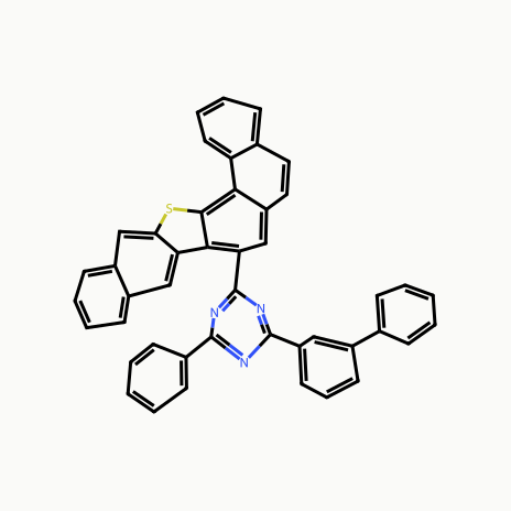 c1ccc(-c2cccc(-c3nc(-c4ccccc4)nc(-c4cc5ccc6ccccc6c5c5sc6cc7ccccc7cc6c45)n3)c2)cc1